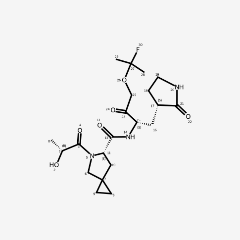 C[C@@H](O)C(=O)N1CC2(CC2)C[C@H]1C(=O)N[C@@H](C[C@@H]1CCNC1=O)C(=O)COC(C)(C)F